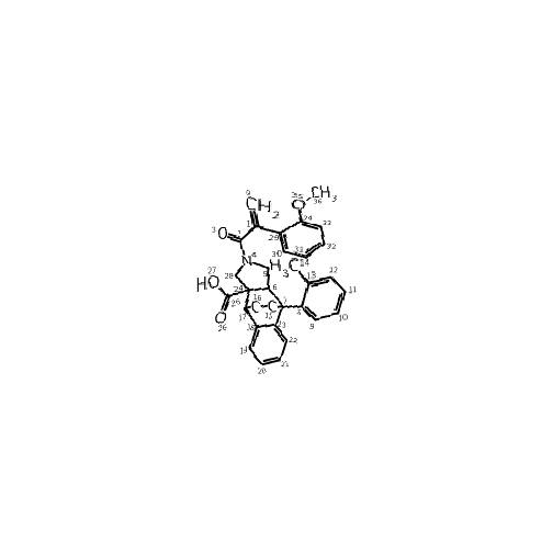 C=C(C(=O)N1CC2C3(c4ccccc4C)CCC(c4ccccc43)C2(C(=O)O)C1)c1ccccc1OC